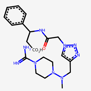 CN(Cc1cn(CC(=O)NC(CC(=O)O)c2ccccc2)nn1)N1CCN(C(=N)N)CC1